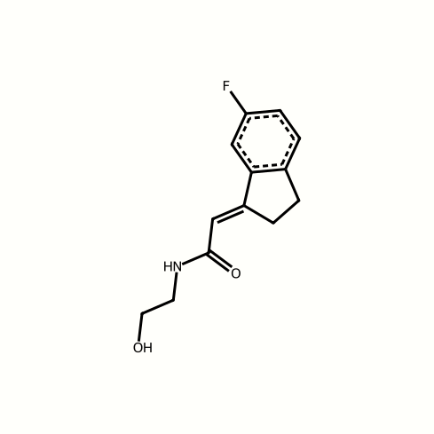 O=C(C=C1CCc2ccc(F)cc21)NCCO